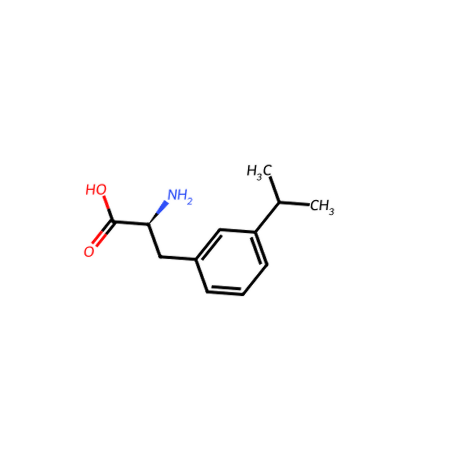 CC(C)c1cccc(C[C@H](N)C(=O)O)c1